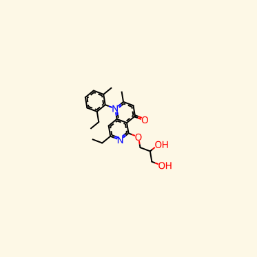 CCc1cc2c(c(OCC(O)CO)n1)c(=O)cc(C)n2-c1c(C)cccc1CC